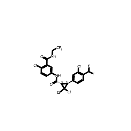 O=C(NCC(F)(F)F)c1cc(NC(=O)[C@@H]2[C@@H](c3ccc(C(F)F)c(Cl)c3)C2(Cl)Cl)ccc1Cl